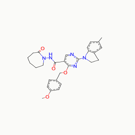 COc1ccc(COc2nc(N3CCc4cc(C)ccc43)ncc2C(=O)NN2CCCCCC2=O)cc1